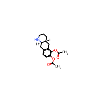 CC(=O)Oc1ccc2c(c1OC(C)=O)C[C@H]1CCCN[C@@H]1C2